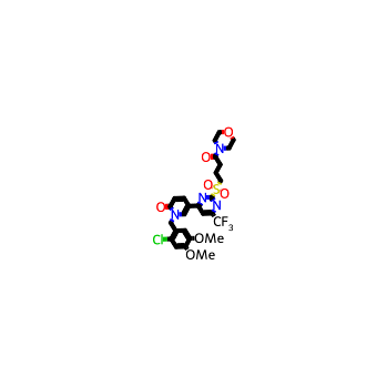 COc1cc(Cl)c(Cn2cc(-c3cc(C(F)(F)F)nc(S(=O)(=O)CCCC(=O)N4CCOCC4)n3)ccc2=O)cc1OC